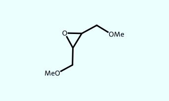 COCC1OC1COC